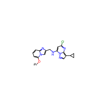 CC(C)Oc1cccc2nc(CNc3cc(Cl)nc4c(C5CC5)cnn34)cn12